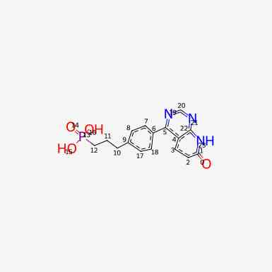 O=c1ccc2c(-c3ccc(CCCP(=O)(O)O)cc3)ncnc2[nH]1